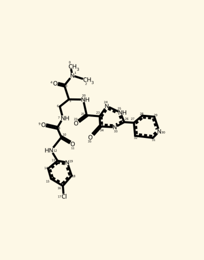 CN(C)C(=O)C(CNC(=O)C(=O)Nc1ccc(Cl)cn1)NC(=O)c1n[nH]c(-c2ccncc2)nc1=O